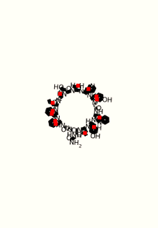 CCCC[C@H]1C(=O)N(C)CC(=O)N[C@@H](CC(=O)O)C(=O)N[C@@H](C(C)C)C(=O)N[C@@H](Cc2cccnc2)C(=O)N[C@@H](Cc2ccc(O)cc2)C(=O)N(C)CC(=O)N[C@@H](Cc2c[nH]c3ccccc23)C(=O)N[C@@H](Cc2ccc(O)cc2)C(=O)N[C@@H](CC(C)C)C(=O)N[C@H](C(=O)NCC(N)=O)CSCC(=O)N[C@@H](Cc2ccccc2)C(=O)N(C)C(Cc2ccccc2)C(=O)N1C